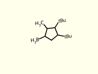 BC1CC(C(C)(C)C)C(C(C)(C)C)C1C